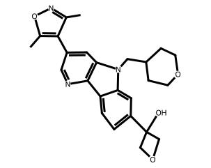 Cc1noc(C)c1-c1cnc2c3ccc(C4(O)COC4)cc3n(CC3CCOCC3)c2c1